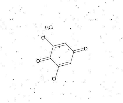 Cl.O=C1C=C(Cl)C(=O)C(Cl)=C1